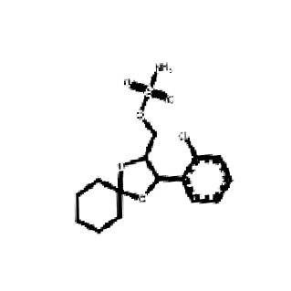 NS(=O)(=O)OCC1OC2(CCCCC2)OC1c1ccccc1Cl